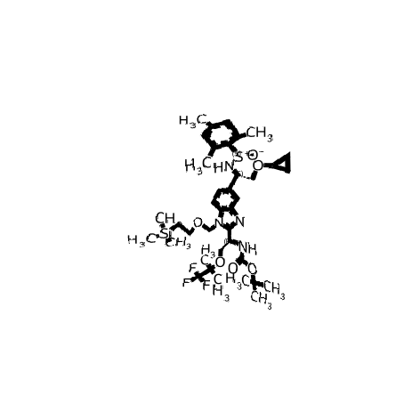 Cc1cc(C)c([S@@+]([O-])N[C@H](COC2CC2)c2ccc3c(c2)nc([C@H](COC(C)(C)C(F)(F)F)NC(=O)OC(C)(C)C)n3COCC[Si](C)(C)C)c(C)c1